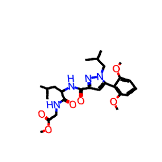 COC(=O)CNC(=O)C(CC(C)C)NC(=O)c1cc(-c2c(OC)cccc2OC)n(CC(C)C)n1